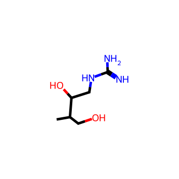 CC(CO)C(O)CNC(=N)N